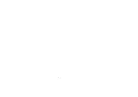 [O]Cc1cccc(C(=O)CBr)c1